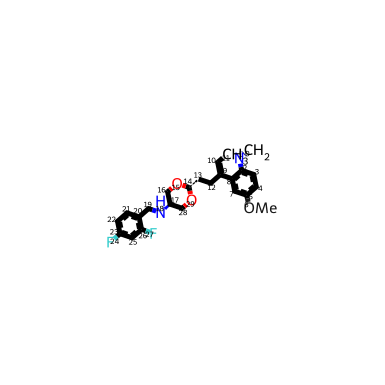 C=Nc1ccc(OC)cc1/C(=C\C)CC[C@H]1OC[C@H](NCc2ccc(F)cc2F)CO1